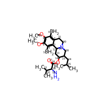 Bc1c2c(c(B)c(OC)c1OC)C1CC(OC(=O)[C@@H](N)C(C)C)C(CC(C)C)CN1CC2